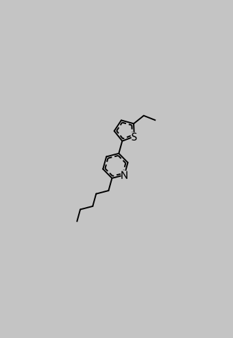 CCCCCc1ccc(-c2ccc(CC)s2)cn1